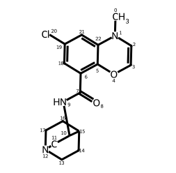 CN1C=COc2c(C(=O)NC3CN4CCC3CC4)cc(Cl)cc21